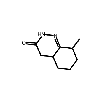 CC1CCCC2CC(=O)NN=C12